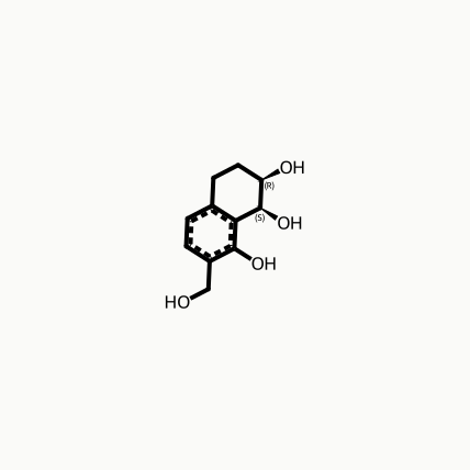 OCc1ccc2c(c1O)[C@H](O)[C@H](O)CC2